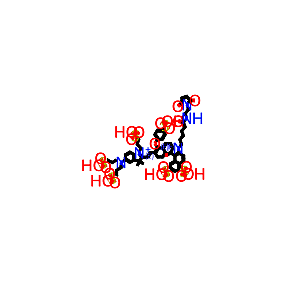 C=c1/c(=C\C=C2/CCCC(/C=C/C3=[N+](CCCS(=O)(=O)O)c4ccc(N(CCCS(=O)(=O)O)CCCS(=O)(=O)O)cc4C3(C)C)=C2Oc2ccc(S(=O)(=O)O)cc2)n(CCCCCC(=O)NCCN2C(=O)C=CC2=O)c2ccc3c(S(=O)(=O)O)cc(S(=O)(=O)O)cc3c12